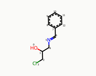 OC(CCl)C/N=C/c1ccccc1